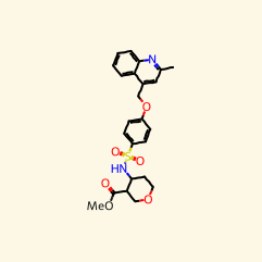 COC(=O)C1COCCC1NS(=O)(=O)c1ccc(OCc2cc(C)nc3ccccc23)cc1